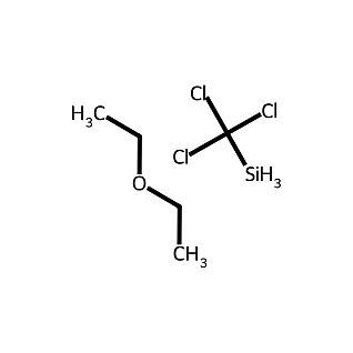 CCOCC.[SiH3]C(Cl)(Cl)Cl